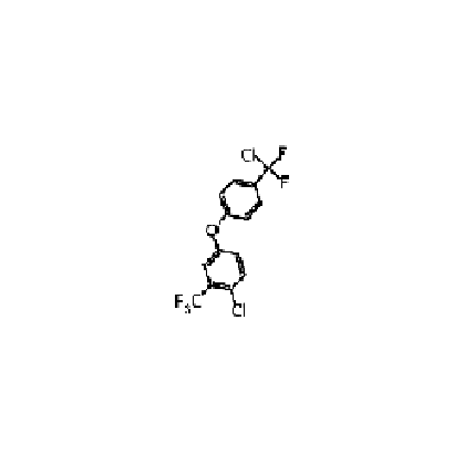 FC(F)(F)c1cc(Oc2ccc(C(F)(F)Cl)cc2)ccc1Cl